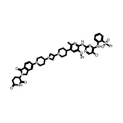 Cc1nc(Nc2ncc(Cl)c(Nc3ccccc3S(=O)(=O)C(C)C)n2)c(OC(C)C)cc1C1CCN(C2CN(C3CCN(c4ccc5c(c4)CN(C4CCC(=O)NC4=O)C5=O)CC3)C2)CC1